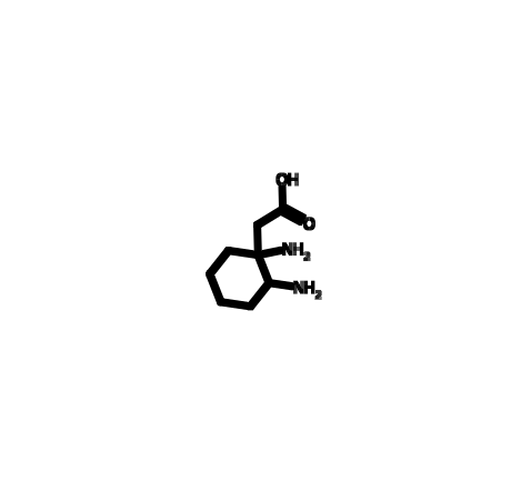 NC1CCCCC1(N)CC(=O)O